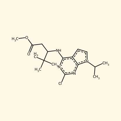 COC(=O)CC(Nc1nc(Cl)nc2c1ccn2C(C)C)C(C)(C)C